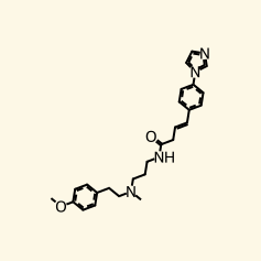 COc1ccc(CCN(C)CCCNC(=O)C/C=C/c2ccc(-n3ccnc3)cc2)cc1